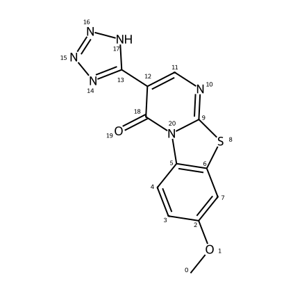 COc1ccc2c(c1)sc1ncc(-c3nnn[nH]3)c(=O)n12